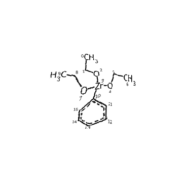 CC[O][Zr]([O]CC)([O]CC)[c]1ccccc1